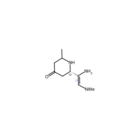 CN/C=C(\N)[C@@H]1CC(=O)CC(C)N1